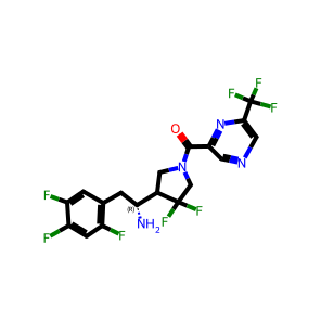 N[C@H](Cc1cc(F)c(F)cc1F)C1CN(C(=O)c2cncc(C(F)(F)F)n2)CC1(F)F